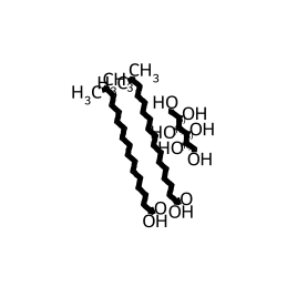 CC(C)CCCCCCCCCCCCCCC(=O)O.CC(C)CCCCCCCCCCCCCCC(=O)O.OC[C@@H](O)[C@@H](O)[C@H](O)[C@@H](O)CO